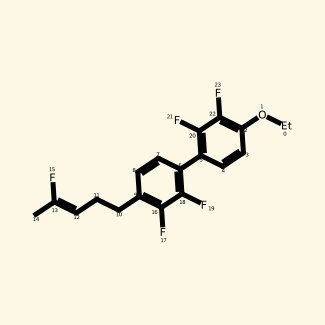 CCOc1ccc(-c2ccc(CC/C=C(/C)F)c(F)c2F)c(F)c1F